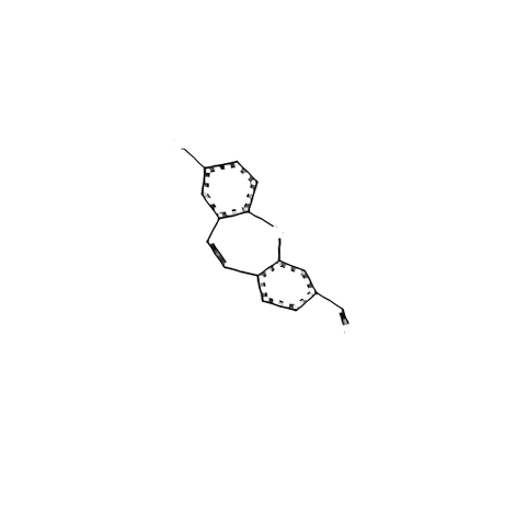 O=Cc1ccc2c(c1)Sc1ccc(Cl)cc1C=C2